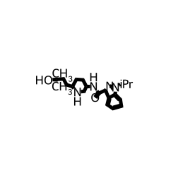 CC(C)n1nc(C(=O)NC2CCC(CCC(C)(C)O)NC2)c2ccccc21